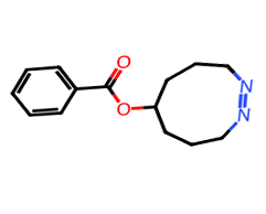 O=C(OC1CCCN=NCCC1)c1ccccc1